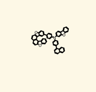 c1ccc2c(-c3ccc(N(c4ccc(-c5ccc6oc7ccc8ccc9oc%10ccccc%10c9c8c7c6c5)cc4)c4ccc5c(c4)oc4ccccc45)cc3)cccc2c1